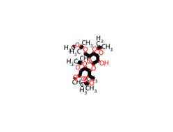 COC(OC)C1OC(C)(C)OC1C(OC1OC(COC(C)(C)OC)C2OC(C)(C)OC2C1O)C1COC(C)(C)O1